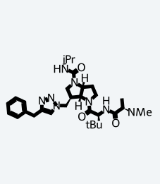 CN[C@@H](C)C(=O)N[C@H](C(=O)N1CC[C@@H]2[C@H]1[C@@H](Cn1cc(Cc3ccccc3)nn1)CN2C(=O)NC(C)C)C(C)(C)C